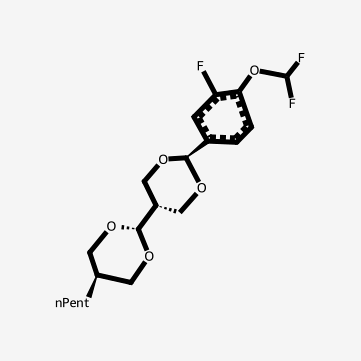 CCCCC[C@H]1CO[C@H]([C@H]2CO[C@H](c3ccc(OC(F)F)c(F)c3)OC2)OC1